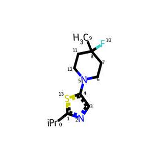 CC(C)c1ncc(N2CCC(C)(F)CC2)s1